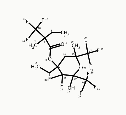 CCC1(OC(=O)C(C)(CC)C(F)(F)F)CC(C)(C(F)(F)F)OC(O)(C(F)(F)F)C1(F)F